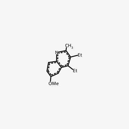 CCc1c(C)nc2ccc(OC)cc2c1CC